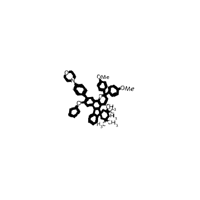 COc1ccc(C2(c3ccc(OC)cc3)C=Cc3c4c(c5cc(OC6CCCC6)c(-c6ccc(N7CCOCC7)cc6)cc5c3O2)-c2ccccc2C42CC(C)(C)CC(C)(C)C2)cc1